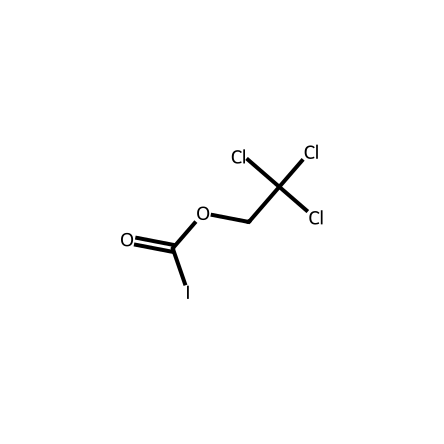 O=C(I)OCC(Cl)(Cl)Cl